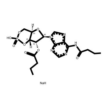 CCCC(=O)Nc1ncnc2c1ncn2[C@@H]1O[C@@H]2COP(=O)(O)O[C@H]2[C@H]1OC(=O)CCC.[NaH]